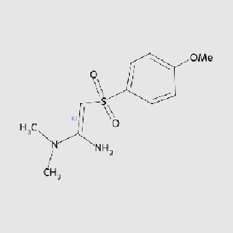 COc1ccc(S(=O)(=O)/C=C(\N)N(C)C)cc1